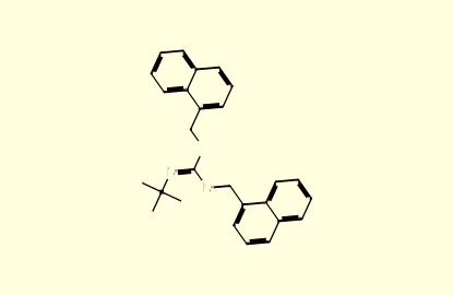 CC(C)(C)/N=C(\NCc1cccc2ccccc12)SCc1cccc2ccccc12